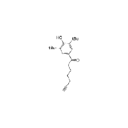 C#CCCCCC(=O)c1cc(C(C)(C)C)c(O)c(C(C)(C)C)c1